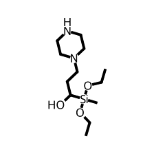 CCO[Si](C)(OCC)C(O)CCN1CCNCC1